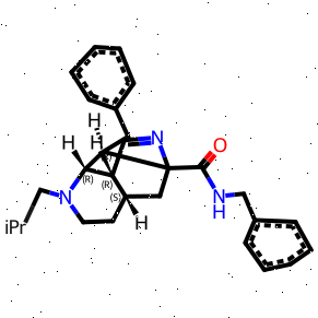 CC(C)CN1CC[C@H]2CC3(C(=O)NCc4ccccc4)N=C[C@H]2[C@H]1[C@H]3Cc1ccccc1